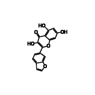 O=c1c(O)c(-c2ccc3ccoc3c2)oc2cc(O)cc(O)c12